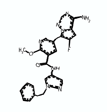 COc1ncc(-c2c(F)cc3c(N)ncnn23)cc1C(=O)Nc1cnn(Cc2ccccc2)c1